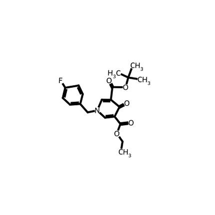 CCOC(=O)c1cn(Cc2ccc(F)cc2)cc(C(=O)OC(C)(C)C)c1=O